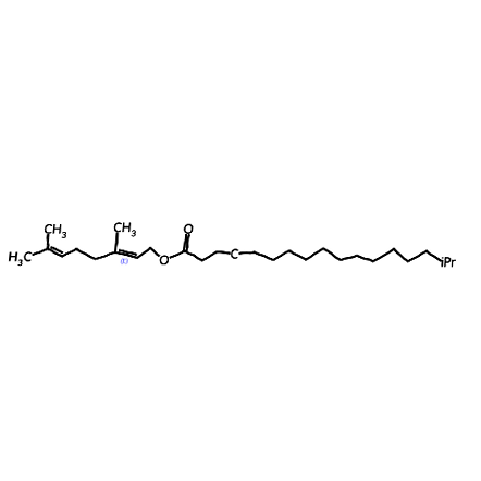 CC(C)=CCC/C(C)=C/COC(=O)CCCCCCCCCCCCCCC(C)C